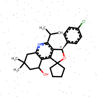 CC(C)c1nc2c(c3c1[C@@H](c1ccc(Cl)cc1)OC31CCCC1)C(O)CC(C)(C)C2